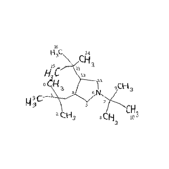 CC(C)(C)C1CN(C(C)(C)C)CC1C(C)(C)C